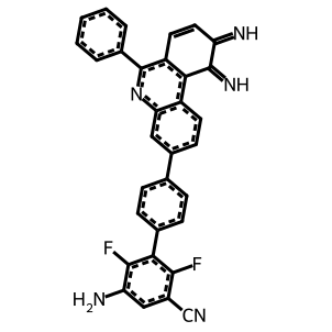 N#Cc1cc(N)c(F)c(-c2ccc(-c3ccc4c5c(c(-c6ccccc6)nc4c3)C=CC(=N)C5=N)cc2)c1F